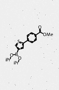 COC(=O)c1ccc(-c2cc(B(OC(C)C)OC(C)C)cs2)cc1